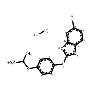 CC(Oc1ccc(Oc2nc3ccc(Cl)cc3o2)cc1)C(=O)O.CCO